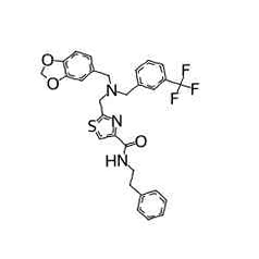 O=C(NCCc1ccccc1)c1csc(CN(Cc2cccc(C(F)(F)F)c2)Cc2ccc3c(c2)OCO3)n1